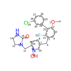 COc1ccc(Cc2ccc(CN3CCNC3=O)[n+](O)c2)c(F)c1-c1cccc(Cl)c1